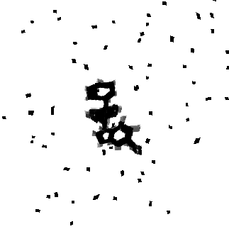 O=S(=O)(c1ccccc1)n1ccc2cc(Cl)cnc21